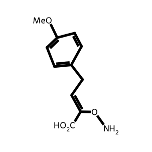 COc1ccc(CC=C(ON)C(=O)O)cc1